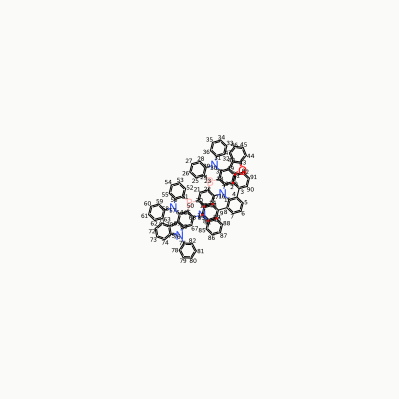 c1ccc(-c2cccc(-c3ccccc3)c2N2c3cc4c(cc3B3c5ccccc5N(c5ccccc5)c5c3c2cc2oc3ccccc3c52)B2c3ccccc3N(c3ccccc3)c3c2c(cc2c3c3ccccc3n2-c2ccccc2)N4c2ccccc2)cc1